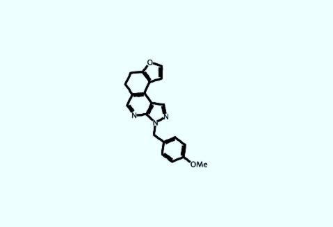 COc1ccc(Cn2ncc3c4c(cnc32)CCc2occc2-4)cc1